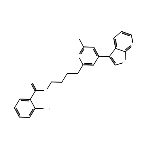 O=C(NCCCCc1cc(-c2c[nH]c3ncccc23)cc(Cl)n1)c1ccccc1O